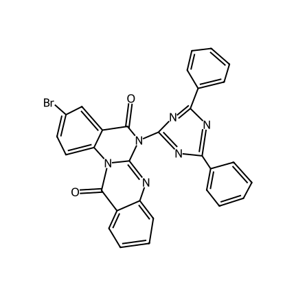 O=c1c2cc(Br)ccc2n2c(=O)c3ccccc3nc2n1-c1nc(-c2ccccc2)nc(-c2ccccc2)n1